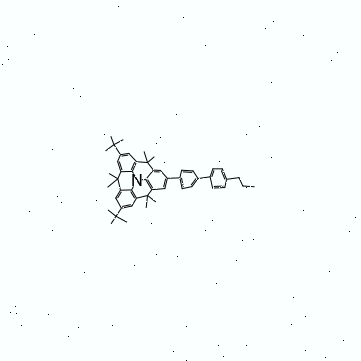 CCCc1ccc(-c2ccc(-c3cc4c5c(c3)C(C)(C)c3cc(C(C)(C)C)cc6c3N5c3c(cc(C(C)(C)C)cc3C6(C)C)C4(C)C)cc2)cc1